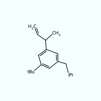 C=C[C](C)c1cc(CC(C)C)cc(C(C)(C)C)c1